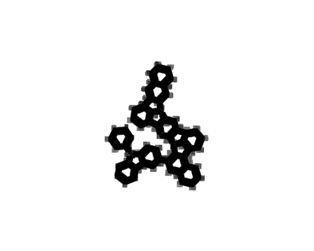 c1ccc(-n2c3ccccc3c3cc(-c4cc5ccccc5c5c6cccc7c8cc9c(nc8n(c45)c76)c4cccc5c6cc7ccccc7cc6n9c54)ccc32)cc1